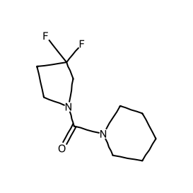 O=C(N1CCCCC1)N1CCC(F)(F)C1